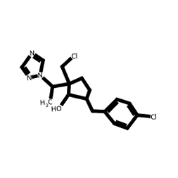 CC(n1cncn1)C1(CCl)CCC(Cc2ccc(Cl)cc2)C1O